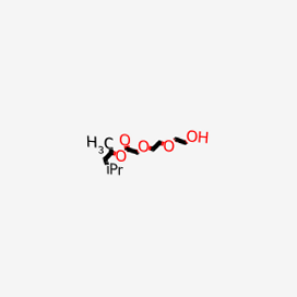 CC(C)CC(C)OC(=O)COCCOCCO